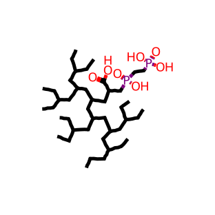 CCCC(CC)CC(CC(CC)CC)CC(CC(CC)CC)CC(CC(CC(CC)CC)CC(CC)CC)CC(CP(=O)(O)CCP(=O)(O)O)C(=O)O